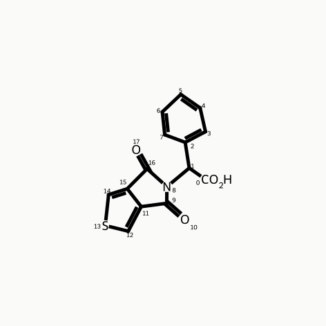 O=C(O)C(c1ccccc1)N1C(=O)c2cscc2C1=O